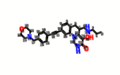 CCCNCC(Cc1ccc(C#Cc2ccc(CN3CCOCC3)cc2)cc1)c1nc[nH]c(=O)c1O